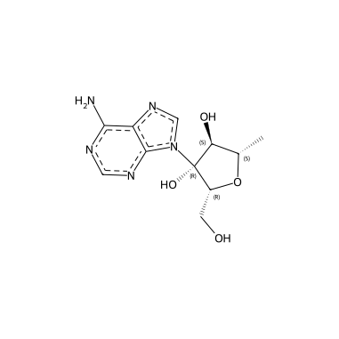 C[C@@H]1O[C@H](CO)[C@@](O)(n2cnc3c(N)ncnc32)[C@H]1O